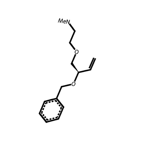 C=C[C@H](COCCNC)OCc1ccccc1